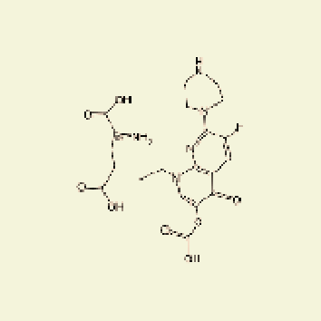 CCn1cc(OC(=O)O)c(=O)c2cc(F)c(N3CCNCC3)nc21.N[C@@H](CCC(=O)O)C(=O)O